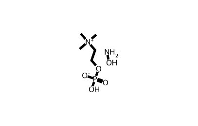 C[N+](C)(C)CCOP(=O)([O-])O.NO